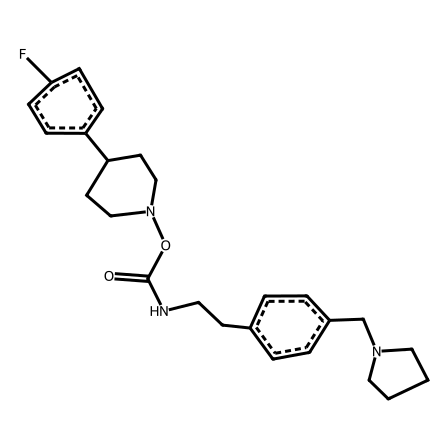 O=C(NCCc1ccc(CN2CCCC2)cc1)ON1CCC(c2ccc(F)cc2)CC1